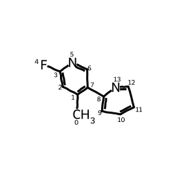 Cc1cc(F)ncc1-c1ccccn1